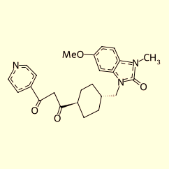 COc1ccc2c(c1)n(C[C@H]1CC[C@H](C(=O)CC(=O)c3ccncc3)CC1)c(=O)n2C